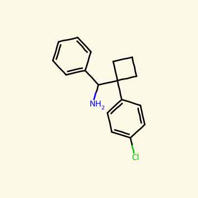 NC(c1ccccc1)C1(c2ccc(Cl)cc2)CCC1